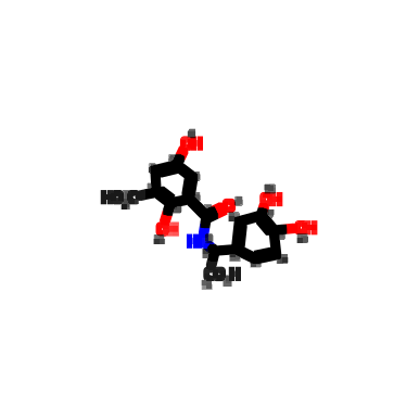 O=C(O)c1cc(O)cc(C(=O)NC(C(=O)O)c2ccc(O)c(O)c2)c1O